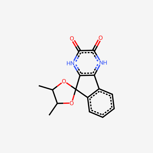 CC1OC2(OC1C)c1ccccc1-c1[nH]c(=O)c(=O)[nH]c12